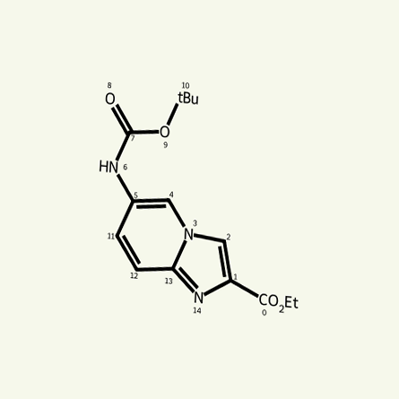 CCOC(=O)c1cn2cc(NC(=O)OC(C)(C)C)ccc2n1